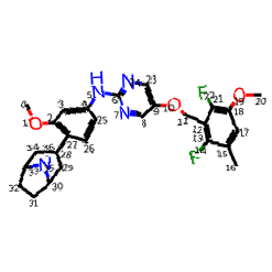 COc1cc(Nc2ncc(OCc3c(F)c(C)cc(OC)c3F)cn2)ccc1C1CC2CCC(C1)N2C